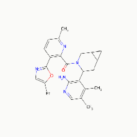 CCc1cnc(-c2ccc(C)nc2C(=O)N2CC3CC3CC2c2c(N)ncc(C(F)(F)F)c2C)o1